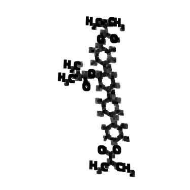 C=C(C)C(=O)Oc1ccc(-c2ccc(-c3ccc(-c4ccc(OC(=O)C(=C)C)cc4)c(OC(=O)C(=C)C)c3)cc2)cc1